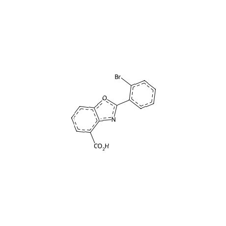 O=C(O)c1cccc2oc(-c3ccccc3Br)nc12